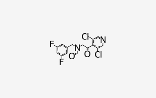 O=CN(CC(=O)c1c(Cl)cncc1Cl)Cc1cc(F)cc(F)c1